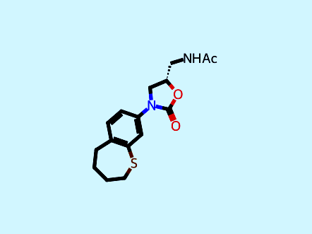 CC(=O)NC[C@H]1CN(c2ccc3c(c2)SCCCC3)C(=O)O1